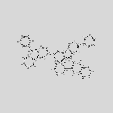 c1ccc(-c2ccc3c4cc(-c5ccc6c(c5)c5ccccc5n6-c5ccccc5)ccc4n(-c4nc5ccccc5nc4-c4ccccn4)c3c2)cc1